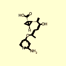 C=C(/C(O)=C\C=C(/C)Oc1ccnc(N)c1)[C@@H]1[C@@H]2C[C@@]12C(=O)O